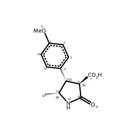 COc1ccc([C@@H]2[C@@H](C(=O)O)C(=O)N[C@@H]2C)cc1